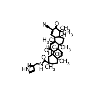 CC1(C)C(=O)C(C#N)=C[C@]2(C)C3=CC(=O)[C@]4(O)[C@@H]5C[C@@](C)(C(=O)NCc6cc[nH]n6)CC[C@]5(C)CC[C@@]4(C)[C@]3(C)CC[C@@H]12